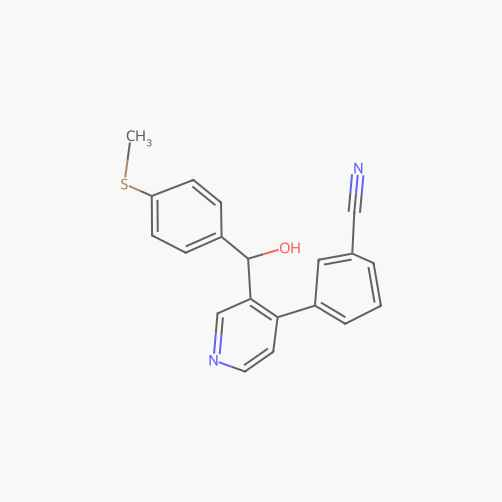 CSc1ccc(C(O)c2cnccc2-c2cccc(C#N)c2)cc1